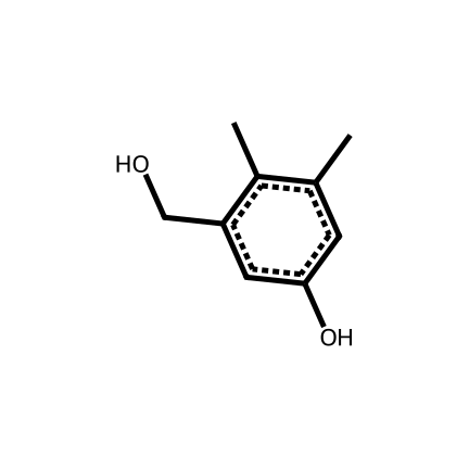 Cc1cc(O)cc(CO)c1C